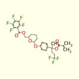 C=C(C)C(=O)OC(C)(CCC(F)(F)F)c1ccc(OC2CCCC(COC(=O)c3c(F)c(F)c(F)c(F)c3F)O2)cc1